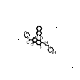 O=C(c1cn2c3c(c(NCCN4CCNCC4)c(F)cc3c1=O)Oc1cc3ccccc3cc1-2)N1CCOCC1